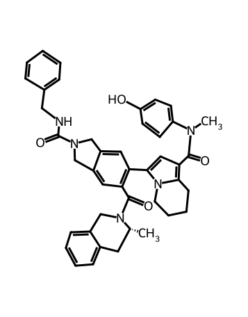 C[C@@H]1Cc2ccccc2CN1C(=O)c1cc2c(cc1-c1cc(C(=O)N(C)c3ccc(O)cc3)c3n1CCCC3)CN(C(=O)NCc1ccccc1)C2